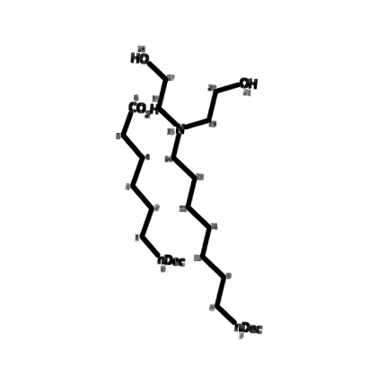 CCCCCCCCCCCCCCCC(=O)O.CCCCCCCCCCCCCCCCCN(CCO)CCO